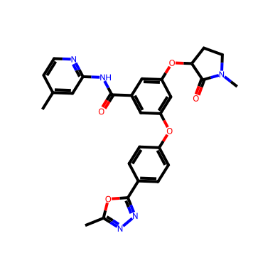 Cc1ccnc(NC(=O)c2cc(Oc3ccc(-c4nnc(C)o4)cc3)cc(OC3CCN(C)C3=O)c2)c1